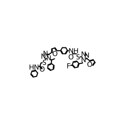 CC(c1ccccc1)n1c(SCC(=O)NC2=CC=CCC2)nnc1-c1ccc(C2=CC=C(NC(=O)CSc3nnc(-c4ccco4)n3Cc3ccc(F)cc3)CC2)o1